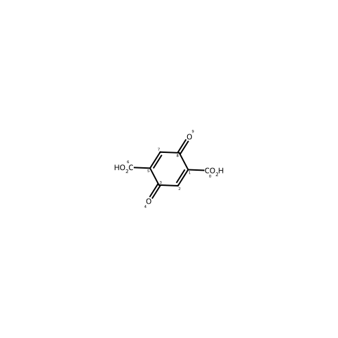 O=C(O)C1=CC(=O)C(C(=O)O)=CC1=O